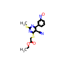 CCOC(=O)CSc1nc(SC)nc(-c2cccc(N=O)c2)c1C#N